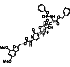 COc1cc(OC)c2oc(COC(=O)Nc3ccn([C@@H]4O[C@H](COP(=O)(N[C@@H](C)C(=O)OCc5ccccc5)Oc5ccccc5)[C@@H](O)C4(F)F)c(=O)n3)cc2c1